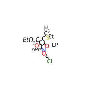 CCCC(=NOC/C=C/Cl)C1=C([O-])C(C(=O)OCC)C(CC(C)SCC)CC1=O.[Li+]